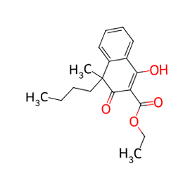 CCCCC1(C)C(=O)C(C(=O)OCC)=C(O)c2ccccc21